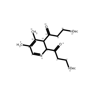 CCCCCCCCCCCCC(=O)C1N=CC(C)=C(C)C1C(=O)CCCCCCCCCCCC